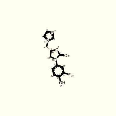 O=C1O[C@@H](Cn2ccnc2)CN1c1ccc(O)c(F)c1